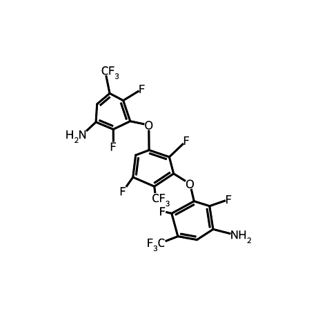 Nc1cc(C(F)(F)F)c(F)c(Oc2cc(F)c(C(F)(F)F)c(Oc3c(F)c(N)cc(C(F)(F)F)c3F)c2F)c1F